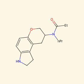 CCCN(C(=O)CC)C1COc2ccc3c(c2C1)CCN3